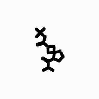 CC(C)C(=O)N1CCSC12CN(C(=O)OC(C)(C)C)C2